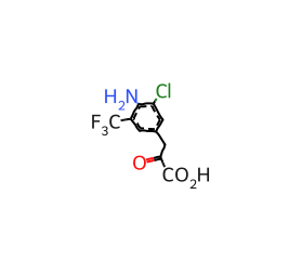 Nc1c(Cl)cc(CC(=O)C(=O)O)cc1C(F)(F)F